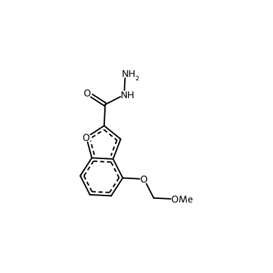 COCOc1cccc2oc(C(=O)NN)cc12